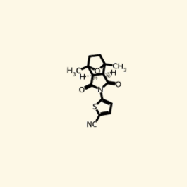 CC12CCC(C)(O1)[C@H]1C(=O)N(c3ccc(C#N)s3)C(=O)[C@H]12